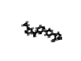 O=C1NCCN1c1ccc(-c2nccc(Nc3cnn(C4CC4)c3)n2)cc1